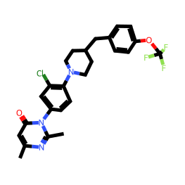 Cc1cc(=O)n(-c2ccc(N3CCC(Cc4ccc(OC(F)(F)F)cc4)CC3)c(Cl)c2)c(C)n1